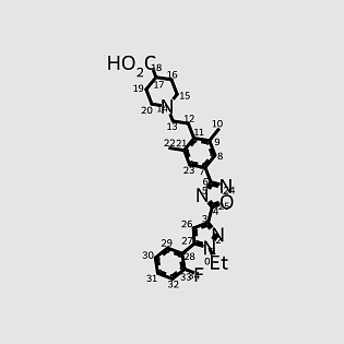 CCn1nc(-c2nc(-c3cc(C)c(CCN4CCC(C(=O)O)CC4)c(C)c3)no2)cc1-c1ccccc1F